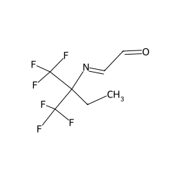 CCC(N=CC=O)(C(F)(F)F)C(F)(F)F